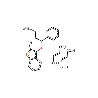 CNCC[C@H](Oc1c(C#N)sc2ccccc12)c1ccccc1.O=C(O)/C=C/C(=O)O.O=C(O)/C=C/C(=O)O